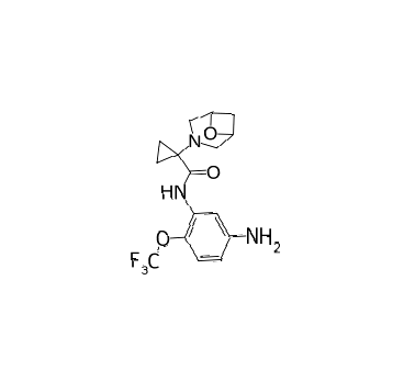 Nc1ccc(OC(F)(F)F)c(NC(=O)C2(N3CC4CC(C3)O4)CC2)c1